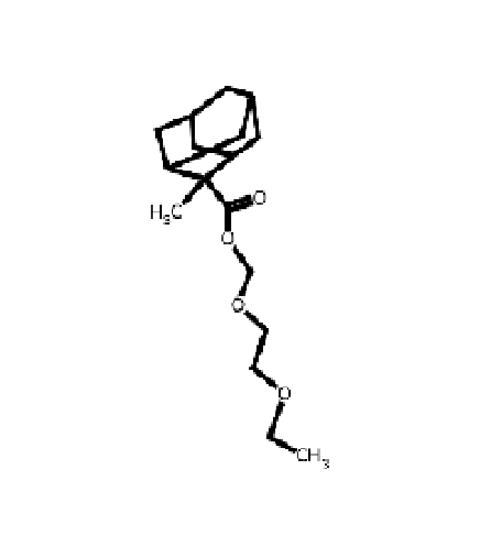 CCOCCOCOC(=O)C1(C)C2CC3CC(C2)CC1C3